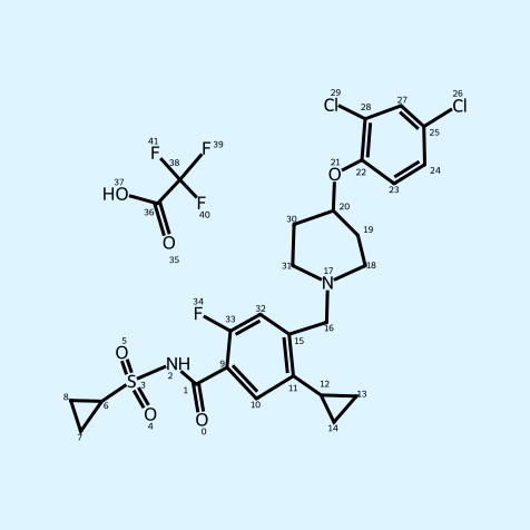 O=C(NS(=O)(=O)C1CC1)c1cc(C2CC2)c(CN2CCC(Oc3ccc(Cl)cc3Cl)CC2)cc1F.O=C(O)C(F)(F)F